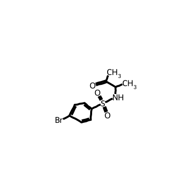 CC(=O)C(C)NS(=O)(=O)c1ccc(Br)cc1